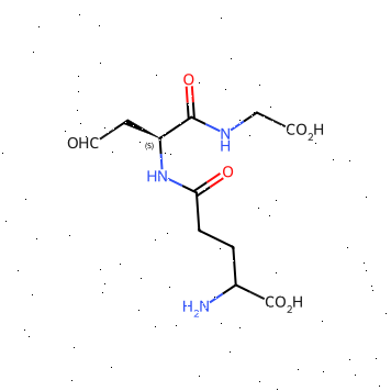 NC(CCC(=O)N[C@@H](CC=O)C(=O)NCC(=O)O)C(=O)O